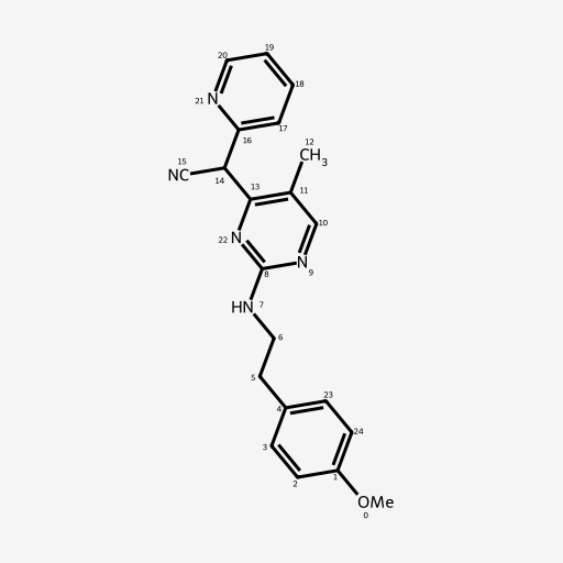 COc1ccc(CCNc2ncc(C)c(C(C#N)c3ccccn3)n2)cc1